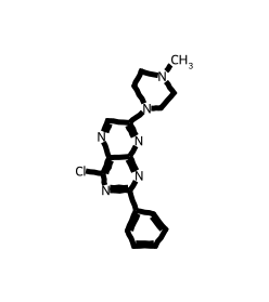 CN1CCN(c2cnc3c(Cl)nc(-c4ccccc4)nc3n2)CC1